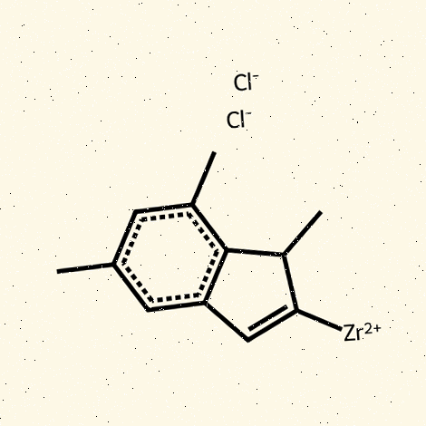 Cc1cc(C)c2c(c1)C=[C]([Zr+2])C2C.[Cl-].[Cl-]